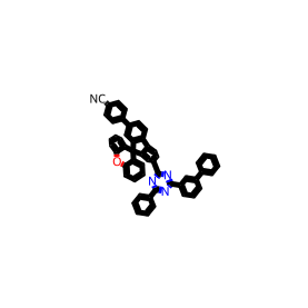 N#Cc1ccc(-c2ccc3c(c2)C2(c4ccccc4Oc4ccccc42)c2cc(-c4nc(-c5ccccc5)nc(-c5cccc(-c6ccccc6)c5)n4)ccc2-3)cc1